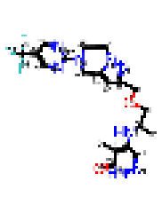 Cc1c(NC(C)COCc2cc3n(n2)CCN(c2ncc(C(F)(F)F)cn2)C3)cn[nH]c1=O